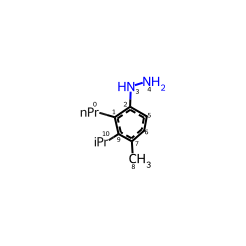 CCCc1c(NN)ccc(C)c1C(C)C